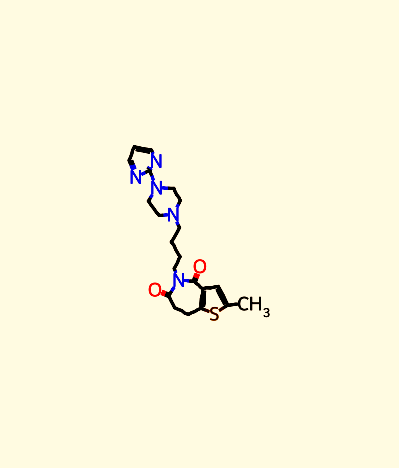 Cc1cc2c(s1)CCC(=O)N(CCCCN1CCN(c3ncccn3)CC1)C2=O